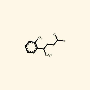 O=C(O)C(CCC(Cl)Cl)c1ccccc1C(F)(F)F